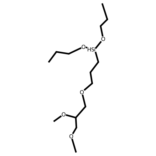 CCCO[SiH](CCCOCC(COC)OC)OCCC